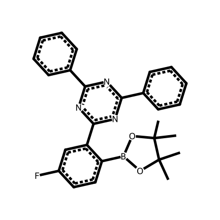 CC1(C)OB(c2ccc(F)cc2-c2nc(-c3ccccc3)nc(-c3ccccc3)n2)OC1(C)C